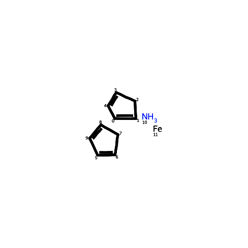 C1=CCC=C1.C1=CCC=C1.N.[Fe]